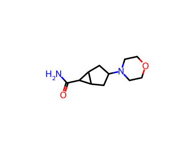 NC(=O)C1C2CC(N3CCOCC3)CC21